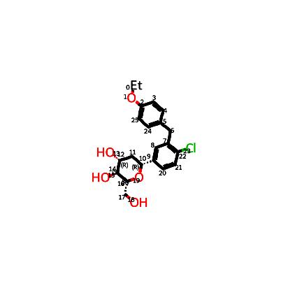 CCOc1ccc(Cc2cc([C@H]3C[C@@H](O)[C@H](O)[C@@H](CO)O3)ccc2Cl)cc1